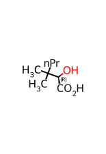 CCCC(C)(C)[C@@H](O)C(=O)O